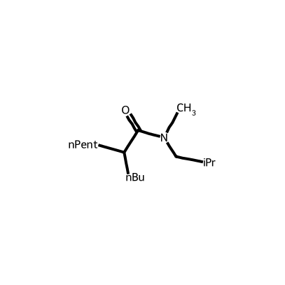 CCCCCC(CCCC)C(=O)N(C)CC(C)C